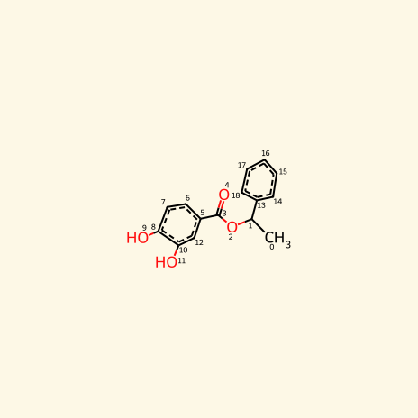 CC(OC(=O)c1ccc(O)c(O)c1)c1ccccc1